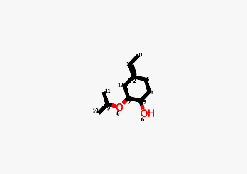 CC=C1CCC(O)C(OC(C)C)C1